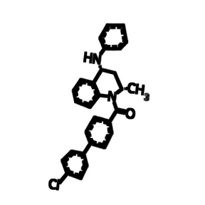 C[C@H]1C[C@@H](Nc2ccccc2)c2ccccc2N1C(=O)c1ccc(-c2ccc(Cl)cc2)cc1